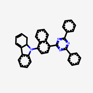 C1=CCC2C(=C1)c1ccccc1N2c1ccc(-c2nc(-c3ccccc3)nc(-c3ccccc3)n2)c2ccccc12